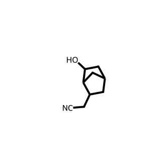 N#CCC1CC2CC(O)C1C2